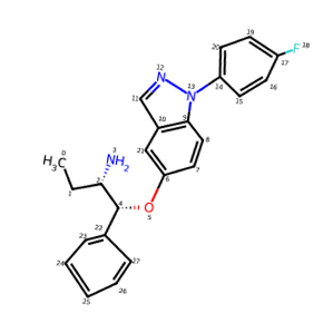 CC[C@H](N)[C@H](Oc1ccc2c(cnn2-c2ccc(F)cc2)c1)c1ccccc1